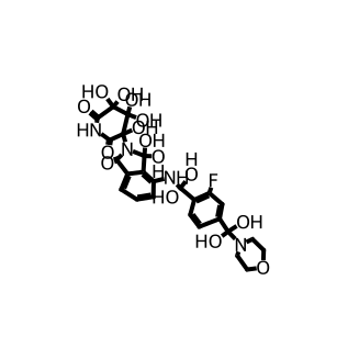 O=C1c2cccc(NC(O)(O)c3ccc(C(O)(O)N4CCOCC4)cc3F)c2C(O)(O)N1C1(O)C(=O)NC(=O)C(O)(O)C1(O)O